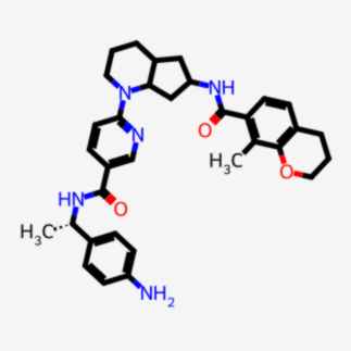 Cc1c(C(=O)NC2CC3CCCN(c4ccc(C(=O)N[C@@H](C)c5ccc(N)cc5)cn4)C3C2)ccc2c1OCCC2